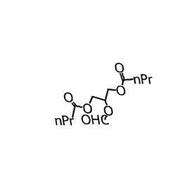 CCCC(=O)OCC(COC(=O)CCC)OC=O